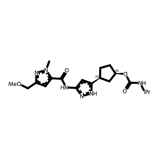 COCc1cc(C(=O)Nc2cc([C@H]3CC[C@@H](OC(=O)NC(C)C)C3)[nH]n2)n(C)n1